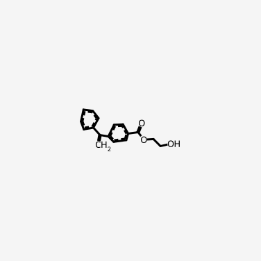 C=C(c1ccccc1)c1ccc(C(=O)OCCO)cc1